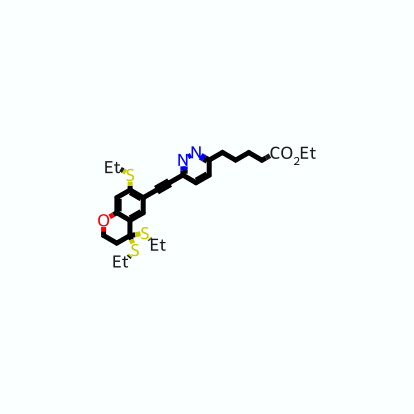 CCOC(=O)CCCCc1ccc(C#Cc2cc3c(cc2SCC)OCCC3(SCC)SCC)nn1